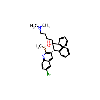 CSc1nc2ccc(Br)cc2cc1[C@@H](c1ccccc1)[C@@](O)(CCCCN(C)C)c1ccccc1